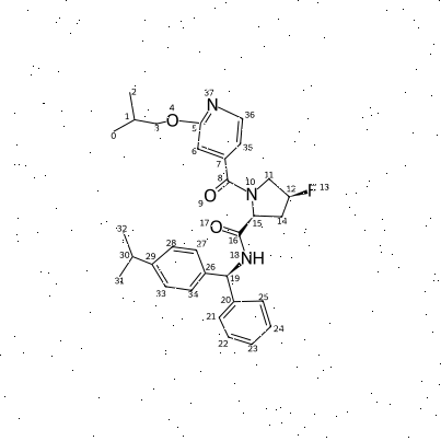 CC(C)COc1cc(C(=O)N2C[C@@H](F)C[C@H]2C(=O)N[C@@H](c2ccccc2)c2ccc(C(C)C)cc2)ccn1